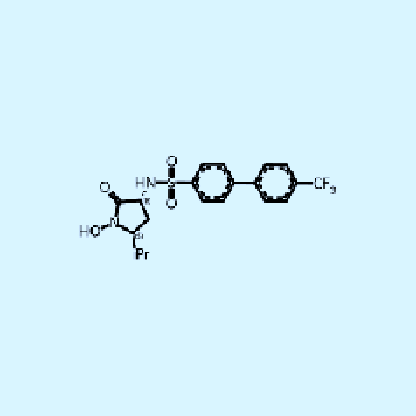 CC(C)[C@@H]1C[C@@H](NS(=O)(=O)c2ccc(-c3ccc(C(F)(F)F)cc3)cc2)C(=O)N1O